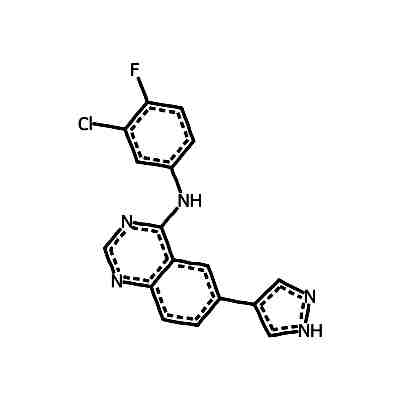 Fc1ccc(Nc2ncnc3ccc(-c4cn[nH]c4)cc23)cc1Cl